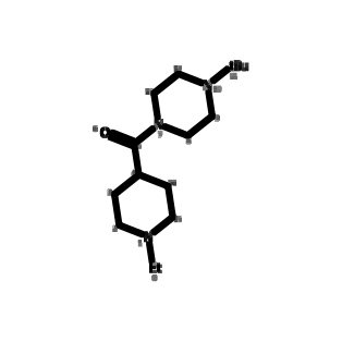 CCN1CCC(C(=O)N2CCN(C(C)(C)C)CC2)CC1